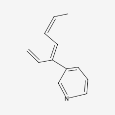 C=C/C(=C\C=C/C)c1cccnc1